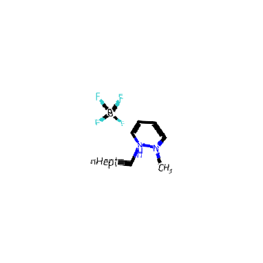 CCCCCCCC[NH+]1C=CC=CN1C.F[B-](F)(F)F